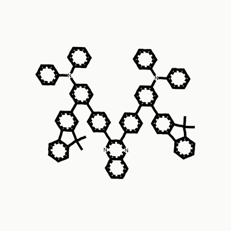 CC1(C)c2ccccc2-c2ccc(-c3cc(N(c4ccccc4)c4ccccc4)ccc3-c3ccc(-c4nc5ccccc5nc4-c4ccc(-c5ccc(N(c6ccccc6)c6ccccc6)cc5-c5ccc6c(c5)C(C)(C)c5ccccc5-6)cc4)cc3)cc21